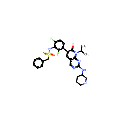 CC(C)n1c(=O)c(-c2ccc(F)c(NS(=O)(=O)Cc3ccccc3)c2F)cc2cnc(NC3CCCNC3)nc21